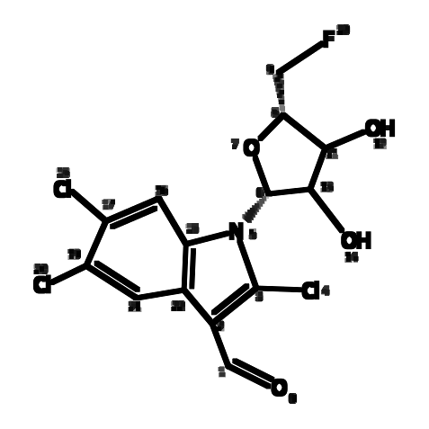 O=Cc1c(Cl)n([C@@H]2O[C@H](CF)C(O)C2O)c2cc(Cl)c(Cl)cc12